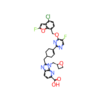 O=C(O)c1ccc2nc(CC3CC=C(c4ncc(F)c(OCc5ccc(Cl)c6cc(F)oc56)n4)CC3)n(C[C@@H]3CCO3)c2n1